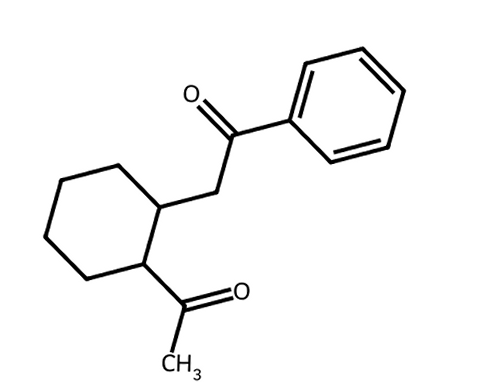 CC(=O)C1CCCCC1CC(=O)c1ccccc1